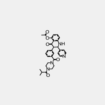 CC(=O)Oc1cccc2c1C(=O)C(c1cccc(C(=O)N3CCN(C(=O)C(C)C)CC3)c1)C(c1ccncc1)N2